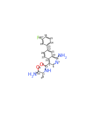 C[C@H](NC(=O)c1cnc(N)c2cc(-c3cccc(F)c3)ccc12)C(N)=O